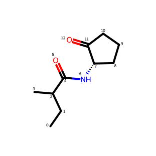 CCC(C)C(=O)N[C@H]1CCCC1=O